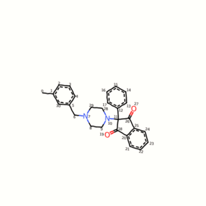 Cc1cccc(CN2CCN(C3(c4ccccc4)C(=O)c4ccccc4C3=O)CC2)c1